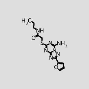 CCCNC(=O)CSc1nc(N)n2nc(-c3ccco3)nc2n1